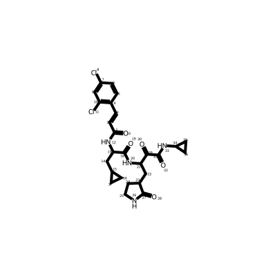 O=C(/C=C/c1ccc(Cl)cc1Cl)NC(CC1CC1)C(=O)NC(CC1CCNC1=O)C(=O)C(=O)NC1CC1